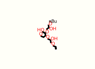 C=CCOCC(O)COC1CCO[C@@H](O)[C@H]1OCC(O)COCCCC